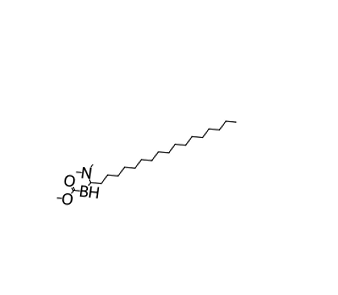 CCCCCCCCCCCCCCCCCC(BC(=O)OC)N(C)C